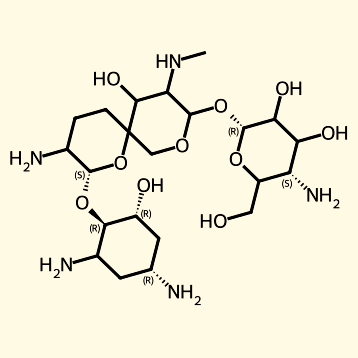 CNC1C(O[C@H]2OC(CO)[C@@H](N)C(O)C2O)OCC2(CCC(N)[C@@H](O[C@@H]3C(N)C[C@@H](N)C[C@H]3O)O2)C1O